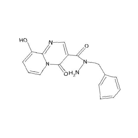 NN(Cc1ccccc1)C(=O)c1cnc2c(O)cccn2c1=O